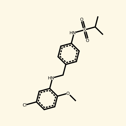 COc1ccc(Cl)cc1NCc1ccc(NS(=O)(=O)C(C)C)cc1